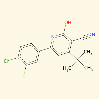 CC(C)(C)c1cc(-c2ccc(Cl)c(F)c2)nc(O)c1C#N